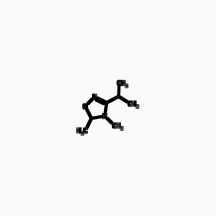 CC(C)C1=NOC(C)N1C